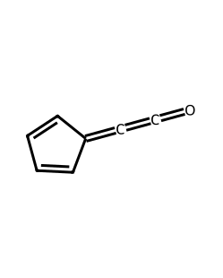 O=C=C=C1C=CC=C1